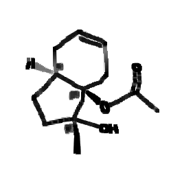 CC(=O)O[C@]12CC=CC[C@@H]1CC[C@@]2(C)O